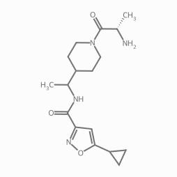 CC(NC(=O)c1cc(C2CC2)on1)C1CCN(C(=O)[C@H](C)N)CC1